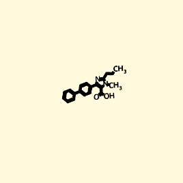 CCCc1nc(-c2ccc(-c3ccccc3)cc2)c(C(=O)O)n1C